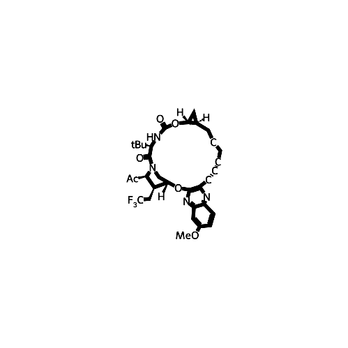 COc1ccc2nc3c(nc2c1)O[C@H]1CN(C(=O)[C@H](C(C)(C)C)NC(=O)O[C@@H]2C[C@H]2CCCCCC3)[C@H](C(C)=O)[C@@H]1CC(F)(F)F